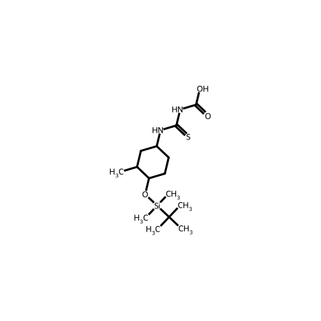 CC1CC(NC(=S)NC(=O)O)CCC1O[Si](C)(C)C(C)(C)C